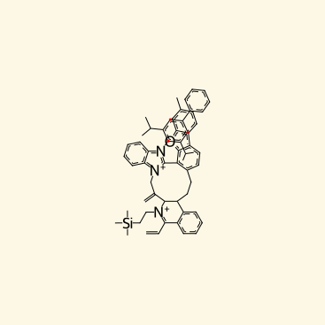 C=CC1=[N+](CC[Si](C)(C)C)C2C(=C)C[n+]3c(n(-c4c(C(C)C)cc(-c5ccccc5)cc4C(C)C)c4ccccc43)-c3c(ccc4c3oc3cc(C)ccc34)CCC2c2ccccc21